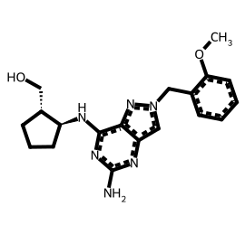 COc1ccccc1Cn1cc2nc(N)nc(N[C@H]3CCC[C@@H]3CO)c2n1